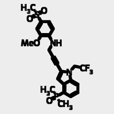 COc1cc(S(C)(=O)=O)ccc1NCC#Cc1cc2c(P(C)(C)=O)cccc2n1CC(F)(F)F